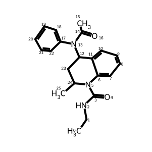 CCNC(=O)N1c2ccccc2C(N(C(C)=O)c2ccccc2)CC1C